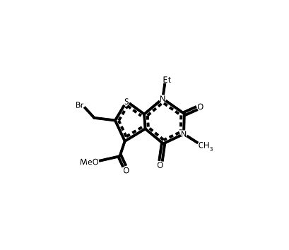 CCn1c(=O)n(C)c(=O)c2c(C(=O)OC)c(CBr)sc21